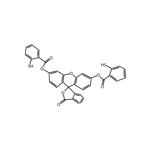 O=C(Oc1ccc2c(c1)Oc1cc(OC(=O)c3ccccc3S)ccc1C21OC(=O)c2ccccc21)c1ccccc1S